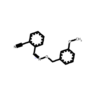 COc1cccc(CO/N=[C]\c2ccccc2C#N)c1